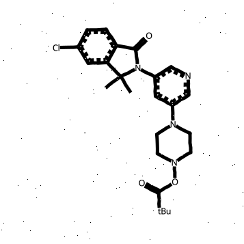 CC(C)(C)C(=O)ON1CCN(c2cncc(N3C(=O)c4ccc(Cl)cc4C3(C)C)c2)CC1